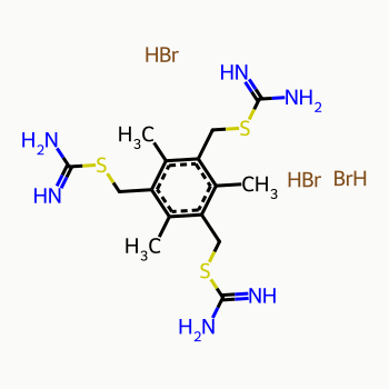 Br.Br.Br.Cc1c(CSC(=N)N)c(C)c(CSC(=N)N)c(C)c1CSC(=N)N